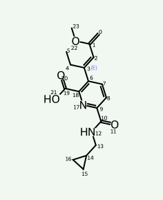 C=C(/C=C(\CC)c1ccc(C(=O)NCC2CC2)nc1C(=O)O)OC